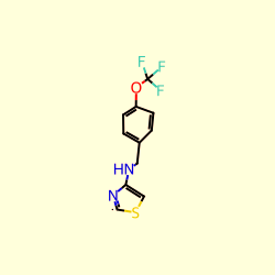 FC(F)(F)Oc1ccc(CNc2cs[c]n2)cc1